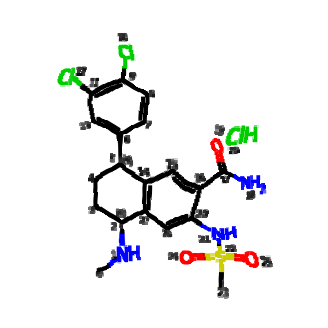 CN[C@H]1CC[C@@H](c2ccc(Cl)c(Cl)c2)c2cc(C(N)=O)c(NS(C)(=O)=O)cc21.Cl